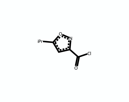 CC(C)c1cc(C(=O)Cl)no1